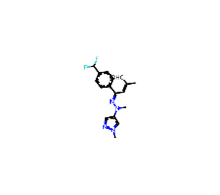 C/C(C=O)=C/C(=N\N(C)c1cnn(C)c1)c1ccc(C(F)F)cc1